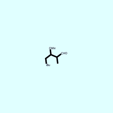 CCC(C)CC(OC)C(C)C=O